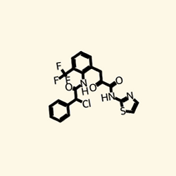 O=C(Cc1cccc(C(F)(F)F)c1NC(=O)C(Cl)c1ccccc1)C(=O)Nc1nccs1